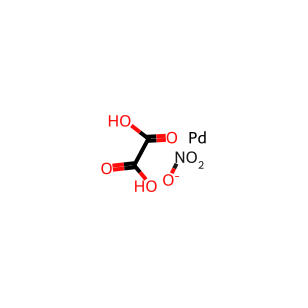 O=C(O)C(=O)O.O=[N+]([O-])[O-].[Pd]